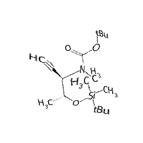 C#C[C@H]([C@@H](C)O[Si](C)(C)C(C)(C)C)N(C)C(=O)OC(C)(C)C